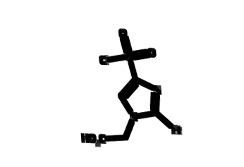 CCc1nc(S(=O)(=O)Cl)cn1CC(=O)O